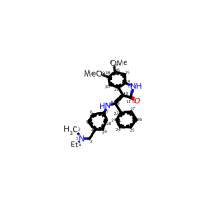 CCN(C)Cc1ccc(NC(=C2C(=O)Nc3cc(OC)c(OC)cc32)c2ccccc2)cc1